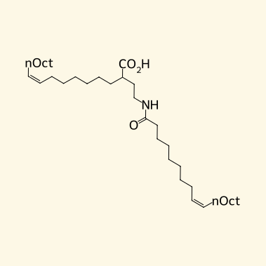 CCCCCCCC/C=C\CCCCCCCC(=O)NCCC(CCCCCC/C=C\CCCCCCCC)C(=O)O